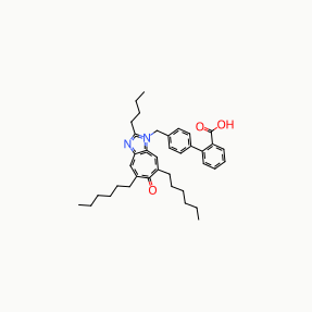 CCCCCCc1cc2nc(CCCC)n(Cc3ccc(-c4ccccc4C(=O)O)cc3)c2cc(CCCCCC)c1=O